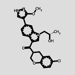 COc1n[nH]cc1-c1ccc2c(C(=O)C3COc4ccc(Cl)cc4C3)cn(C[C@H](C)O)c2c1